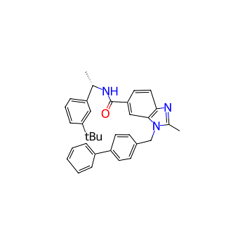 Cc1nc2ccc(C(=O)N[C@@H](C)c3cccc(C(C)(C)C)c3)cc2n1Cc1ccc(-c2ccccc2)cc1